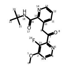 COc1ncnc(C(=O)Cc2cccnc2C(=O)NC(C)(C)C)c1F